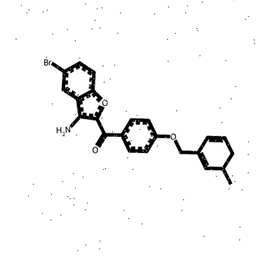 CC1C=C(COc2ccc(C(=O)c3oc4ccc(Br)cc4c3N)cc2)C=CC1